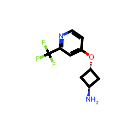 N[C@H]1C[C@H](Oc2ccnc(C(F)(F)F)c2)C1